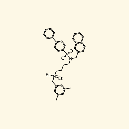 CC[N+](CC)(CCCCN(Cc1ccc2ccccc2c1)S(=O)(=O)c1ccc(-c2ccccc2)cc1)Cc1cc(C)cc(C)c1